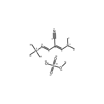 CN(C)C=C(C#N)C=N[N+](C)(C)C.COS(=O)(=O)[O-]